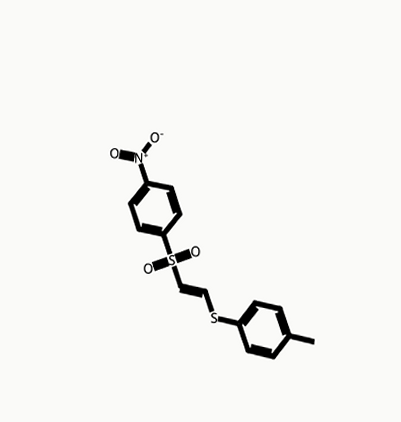 Cc1ccc(SC=CS(=O)(=O)c2ccc([N+](=O)[O-])cc2)cc1